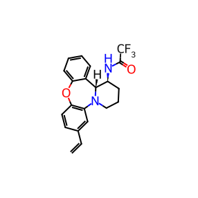 C=Cc1ccc2c(c1)N1CCC[C@H](NC(=O)C(F)(F)F)[C@H]1c1ccccc1O2